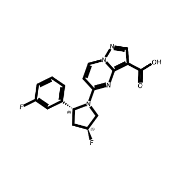 O=C(O)c1cnn2ccc(N3C[C@@H](F)C[C@@H]3c3cccc(F)c3)nc12